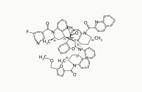 COCc1ccc(C(=O)N2c3ccccc3[C@@H]([N+](C(=O)C[N+](C(C)=O)(c3ccccc3)[C@H]3C[C@@H](C)N(C(=O)c4cncc(F)c4)c4ccccc43)(c3ccccc3)[C@H]3C[C@@H](C)N(C(=O)c4ccc5ccccc5n4)c4ccccc43)C[C@H]2C)o1